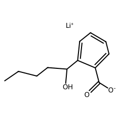 CCCCC(O)c1ccccc1C(=O)[O-].[Li+]